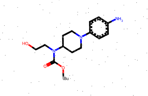 CC(C)(C)OC(=O)N(CCO)C1CCN(c2ccc(N)cc2)CC1